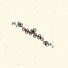 C=CC(=O)OCCCCCCOc1ccc(OC(=O)C2CCC(C(=O)OCCc3ccc(OC(=O)C4CCC(C(=O)Oc5ccc(OCCCCCCOC(=O)C=C)cc5)CC4)c4nc(C=O)sc34)CC2)cc1